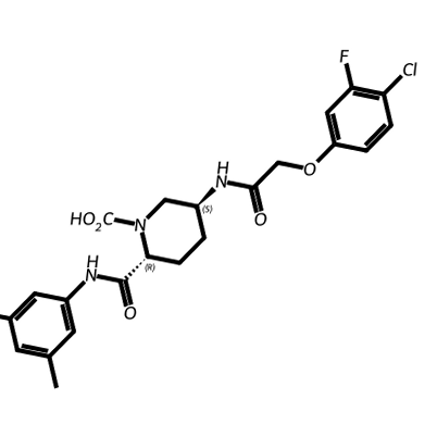 Cc1cc(C)cc(NC(=O)[C@H]2CC[C@H](NC(=O)COc3ccc(Cl)c(F)c3)CN2C(=O)O)c1